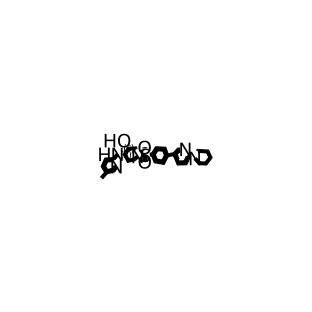 Cc1ccc(N[C@@H]2CCN(S(=O)(=O)c3ccc(-c4ccc(N5CCCCC5)nc4)cc3)C[C@@H]2O)nc1